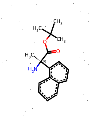 CC(C)(C)OC(=O)[C@](C)(N)c1cccc2ccccc12